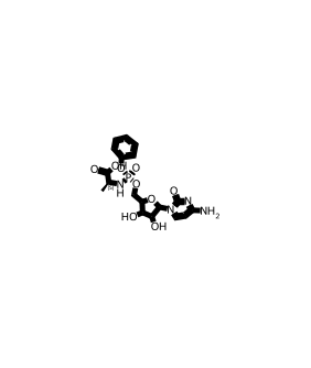 C[C@H](NP(=O)(OCC1OC(n2ccc(N)nc2=O)C(O)C1O)Oc1ccccc1)C(=O)O